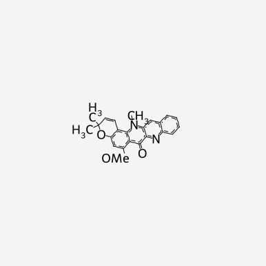 COc1cc2c(c3c1c(=O)c1nc4ccccc4cc1n3C)C=CC(C)(C)O2